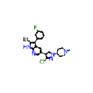 CCc1[nH]c2ncc(-c3cn(C4CCN(C)CC4)nc3Cl)cc2c1-c1cccc(F)c1